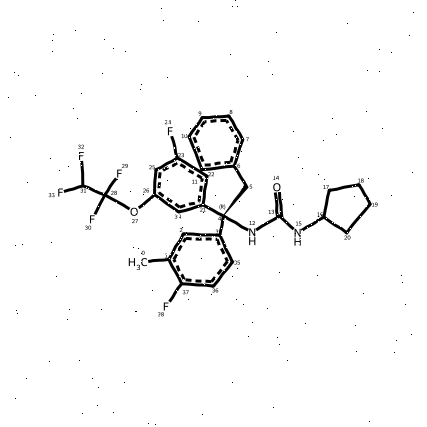 Cc1cc([C@@](Cc2ccccc2)(NC(=O)NC2CCCC2)c2cc(F)cc(OC(F)(F)C(F)F)c2)ccc1F